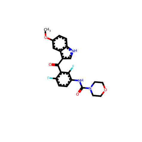 COc1ccc2[nH]cc(C(=O)c3c(F)ccc(NC(=O)N4CCOCC4)c3F)c2c1